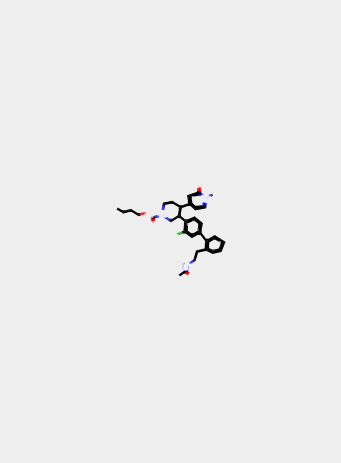 CCCCOC(=O)N1CCC(c2ccn(C)c(=O)c2)C(c2ccc(-c3ccccc3CCNC(C)=O)cc2Cl)C1